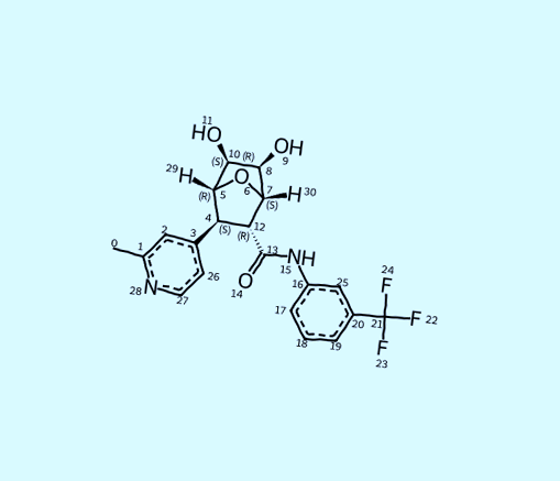 Cc1cc([C@H]2[C@H]3O[C@H]([C@H](O)[C@@H]3O)[C@@H]2C(=O)Nc2cccc(C(F)(F)F)c2)ccn1